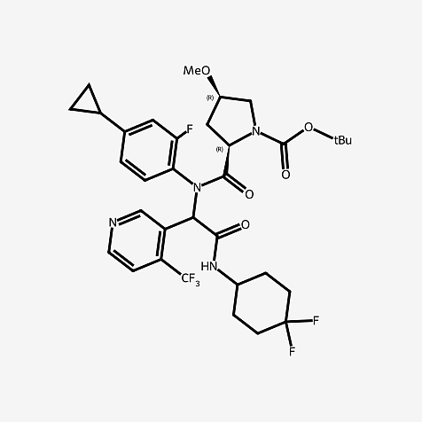 CO[C@@H]1C[C@H](C(=O)N(c2ccc(C3CC3)cc2F)C(C(=O)NC2CCC(F)(F)CC2)c2cnccc2C(F)(F)F)N(C(=O)OC(C)(C)C)C1